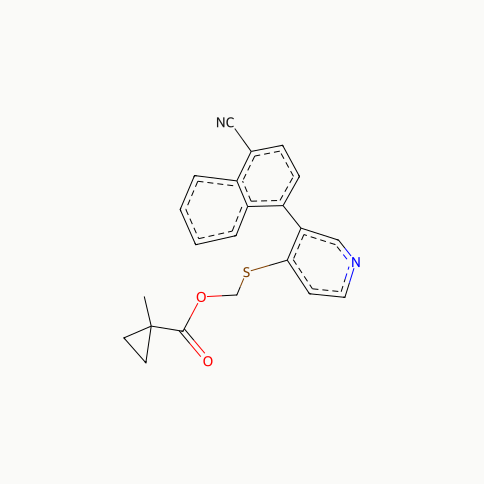 CC1(C(=O)OCSc2ccncc2-c2ccc(C#N)c3ccccc23)CC1